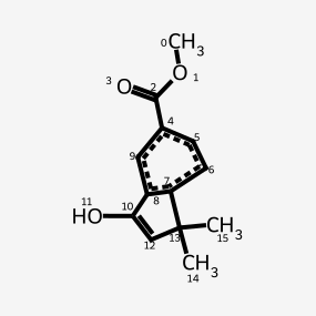 COC(=O)c1ccc2c(c1)C(O)=CC2(C)C